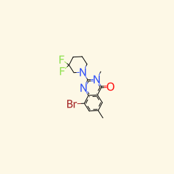 Cc1cc(Br)c2nc(N3CCCC(F)(F)C3)n(C)c(=O)c2c1